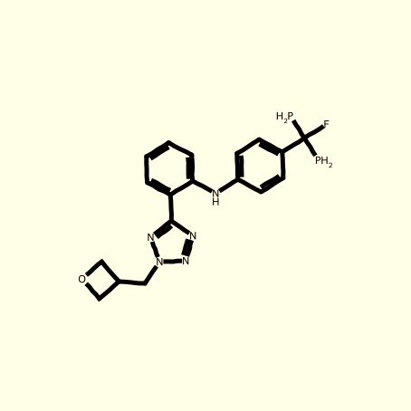 FC(P)(P)c1ccc(Nc2ccccc2-c2nnn(CC3COC3)n2)cc1